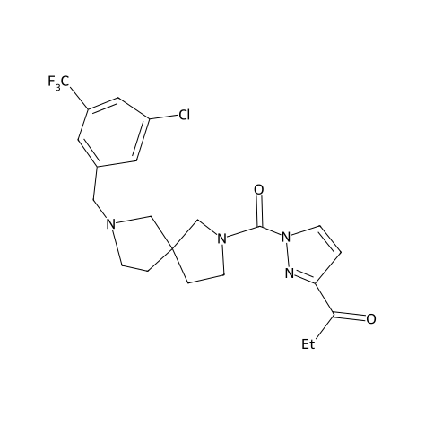 CCC(=O)c1ccn(C(=O)N2CCC3(CCN(Cc4cc(Cl)cc(C(F)(F)F)c4)C3)C2)n1